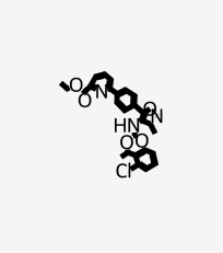 CCOC(=O)c1cccc(-c2ccc(-c3onc(C)c3NC(=O)OC(C)c3ccccc3Cl)cc2)n1